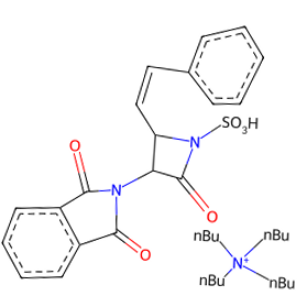 CCCC[N+](CCCC)(CCCC)CCCC.O=C1c2ccccc2C(=O)N1C1C(=O)N(S(=O)(=O)O)C1/C=C\c1ccccc1